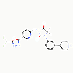 CC1(C)C(=O)N(Cc2ccc(-c3nnc(C(F)F)o3)cn2)C(=O)N1c1cccc(C2=CCNCC2)c1